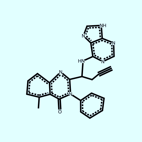 C#CCC(Nc1ncnc2[nH]cnc12)c1nc2cccc(C)c2c(=O)n1-c1ccccc1